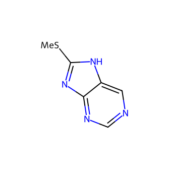 [CH2]Sc1nc2ncncc2[nH]1